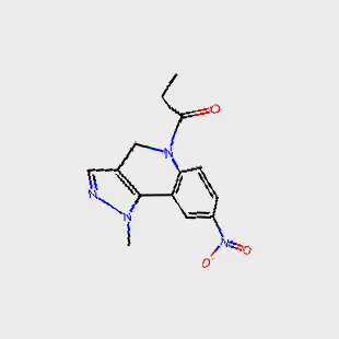 CCC(=O)N1Cc2cnn(C)c2-c2cc([N+](=O)[O-])ccc21